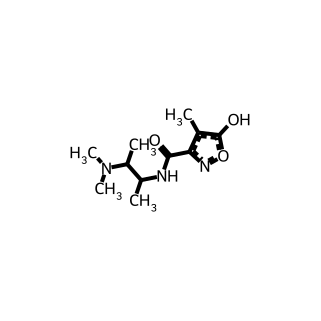 Cc1c(C(=O)NC(C)C(C)N(C)C)noc1O